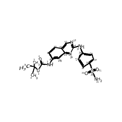 CC(C)(C)OC(=O)Nc1ccc2cnc(Nc3ccc(S(N)(=O)=O)cc3)nc2c1